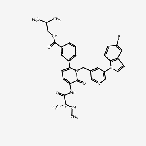 CN[C@H](C)C(=O)Nc1ccc(-c2cccc(C(=O)NCC(C)C)c2)n(Cc2cncc(-n3ccc4cc(F)ccc43)c2)c1=O